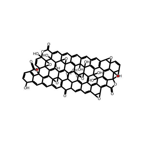 O=C1OC2(O)C=CC3(O)C45OC(=O)C6=C4C(=CC4=CC7=CC8=C9C%10%11OC7%10C(=C45)C4=C5C%11=C7C%10%11OC%10%12C(=CC%10=CC%13=Cc%14cc%15c%16c%17c%14C%14(O)C%13(O)C(=C%10%11)C%10(O)C7(O)C9(O)C7C9=c%11c(cc%13c%18c%11=C(C%17(O)C%11(O)C%17=C%19C(=C(C=%18%11)C%11OC%13%11)C(=O)OC%19(O)C%11%13OC%11C=CC%11(OC%15%11)C%13=C%17%16)C%14%11OC9%10%11)=CC7C8=O)C=C1C(O)(C5%12O)C21OC431)C(O)C=C6